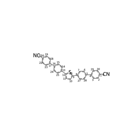 N#Cc1ccc(-c2ccc(-c3ccc(-c4ccc(-c5ccc(C#N)cc5)cc4)s3)cc2)cc1